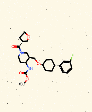 CC(C)(C)OC(=O)NC1CCN(C(=O)[C@@H]2CCOC2)CC1CO[C@H]1CC[C@@H](c2cccc(F)c2)CC1